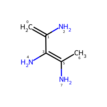 C=C(N)/C(N)=C(\C)N